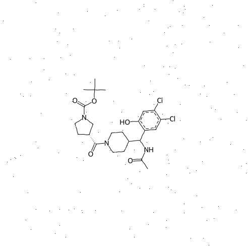 CC(=O)NC(c1cc(Cl)c(Cl)cc1O)C1CCN(C(=O)[C@@H]2CCN(C(=O)OC(C)(C)C)C2)CC1